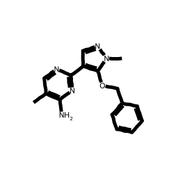 Cc1cnc(-c2cnn(C)c2OCc2ccccc2)nc1N